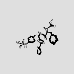 COC(=O)N(C)[C@@H](Cc1ccccc1)C(=O)N[C@@H](Cc1ccc(NS(=O)(=O)O)cc1)c1csc(-c2cccs2)n1